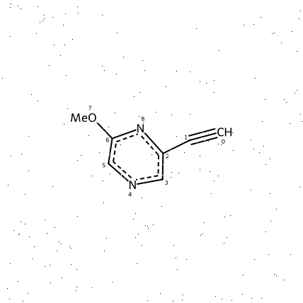 C#Cc1cncc(OC)n1